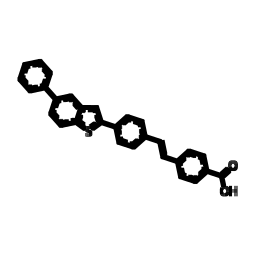 O=C(O)c1ccc(C=Cc2ccc(-c3cc4cc(-c5ccccc5)ccc4s3)cc2)cc1